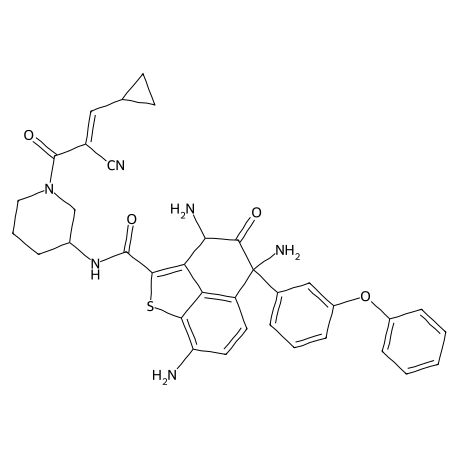 N#C/C(=C\C1CC1)C(=O)N1CCCC(NC(=O)c2sc3c(N)ccc4c3c2C(N)C(=O)C4(N)c2cccc(Oc3ccccc3)c2)C1